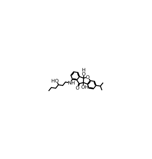 CCCC(O)CCNc1cccc2c1C(=O)C1(O)c3ccc(C(C)C)cc3OC21O